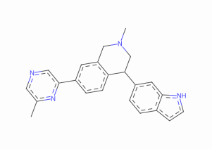 Cc1cncc(-c2ccc3c(c2)CN(C)CC3c2ccc3cc[nH]c3c2)n1